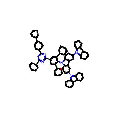 c1ccc(-c2ccc(-c3nc(-c4ccccc4)nc(-c4cc(-c5ccccc5)c(-n5c6ccc(-n7c8ccccc8c8ccccc87)cc6c6cc(-n7c8ccccc8c8ccccc87)ccc65)c(-c5ccccc5)c4)n3)cc2)cc1